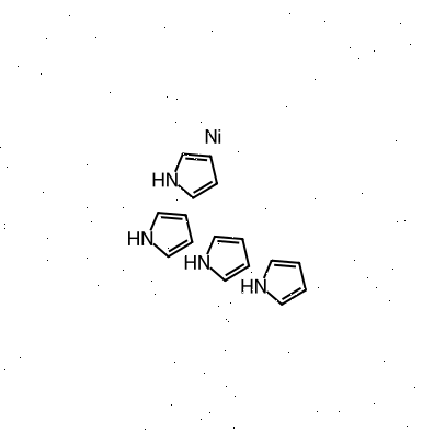 [Ni].c1cc[nH]c1.c1cc[nH]c1.c1cc[nH]c1.c1cc[nH]c1